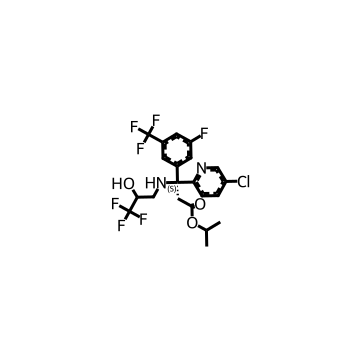 CC(C)OC(=O)C[C@](NCC(O)C(F)(F)F)(c1cc(F)cc(C(F)(F)F)c1)c1ccc(Cl)cn1